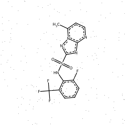 Cc1ccnc2nc(S(=O)(=O)Nc3c(F)cccc3C(F)(F)F)nn12